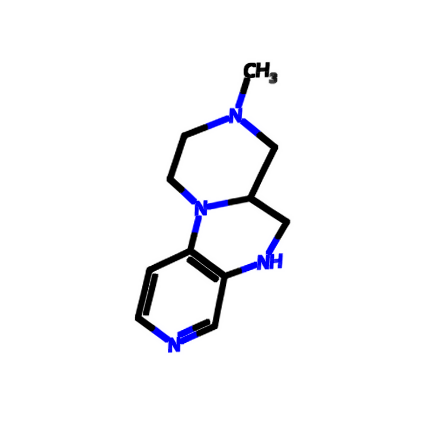 CN1CCN2c3ccncc3NCC2C1